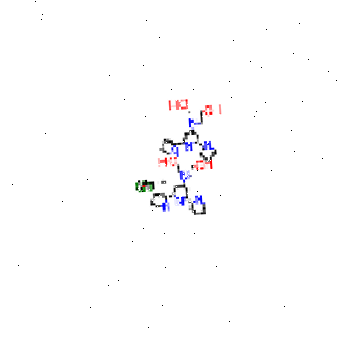 OCCN(CCO)c1cc(-c2ccccn2)nc(-c2ccccn2)c1.OCCN(CCO)c1cc(-c2ccccn2)nc(-c2ccccn2)c1.[Cl-].[Cl-].[Mn+2]